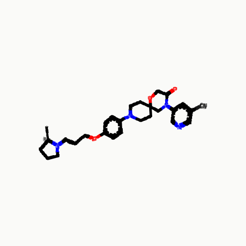 C[C@@H]1CCCN1CCCOc1ccc(N2CCC3(CC2)CN(c2cncc(C#N)c2)C(=O)CO3)cc1